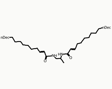 CCCCCCCCCCCCCCCCCC=CC(=O)NCC(C)NC(=O)C=CCCCCCCCCCCCCCCCCC